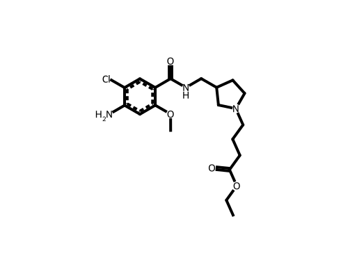 CCOC(=O)CCCN1CCC(CNC(=O)c2cc(Cl)c(N)cc2OC)C1